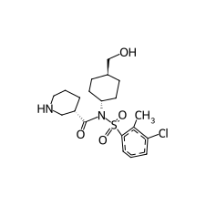 Cc1c(Cl)cccc1S(=O)(=O)N(C(=O)[C@H]1CCCNC1)[C@H]1CC[C@H](CO)CC1